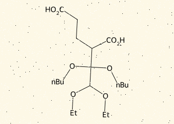 CCCCOC(OCCCC)(C(OCC)OCC)C(CCC(=O)O)C(=O)O